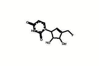 O=c1ccn(C2C=C(CF)C(O)C2O)c(=O)[nH]1